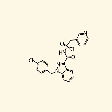 O=C(NS(=O)(=O)Cc1cccnc1)c1nn(Cc2ccc(Cl)cc2)c2ccccc12